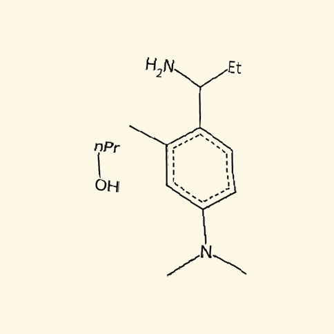 CCC(N)c1ccc(N(C)C)cc1C.[CH2]CCO